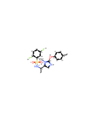 CCn1c(C(C)NS(=O)(=O)c2cc(F)ccc2F)cnc1Oc1ccc(C)cc1